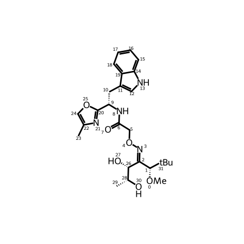 CO[C@H](/C(=N/OCC(=O)N[C@@H](Cc1c[nH]c2ccccc12)c1nc(C)co1)[C@@H](O)[C@@H](C)O)C(C)(C)C